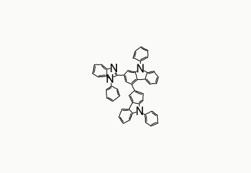 c1ccc(-n2c(-c3cc(-c4ccc5c(c4)c4ccccc4n5-c4ccccc4)c4c5ccccc5n(-c5ccccc5)c4c3)nc3ccccc32)cc1